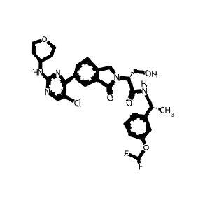 C[C@@H](NC(=O)[C@@H](CO)N1Cc2ccc(-c3nc(NC4CCOCC4)ncc3Cl)cc2C1=O)c1cccc(OC(F)F)c1